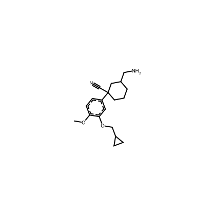 COc1ccc(C2(C#N)CCCC(CN)C2)cc1OCC1CC1